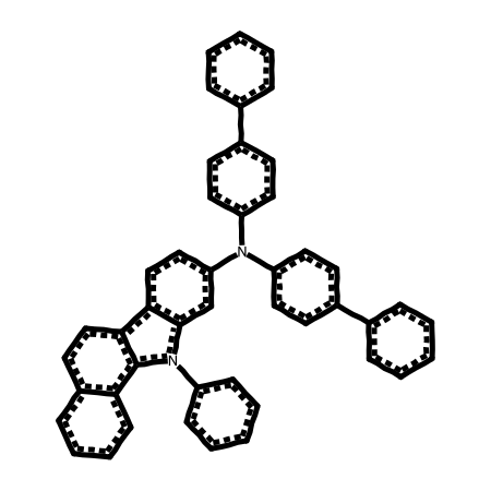 c1ccc(-c2ccc(N(c3ccc(-c4ccccc4)cc3)c3ccc4c5ccc6ccccc6c5n(-c5ccccc5)c4c3)cc2)cc1